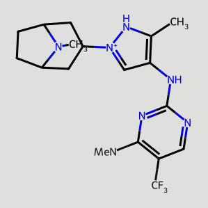 CNc1nc(Nc2c[n+](C3CC4CCC(C3)N4C)[nH]c2C)ncc1C(F)(F)F